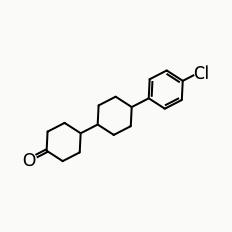 O=C1CCC(C2CCC(c3ccc(Cl)cc3)CC2)CC1